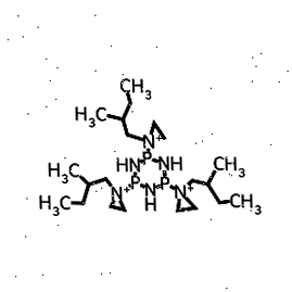 CCC(C)C[N+]1(P2NP([N+]3(CC(C)CC)CC3)NP([N+]3(CC(C)CC)CC3)N2)CC1